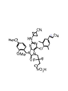 COc1ccc(Cn2c(=O)n(CC(F)(F)COS(=O)(=O)O)c3c(Oc4c(C)cc(/C=C/C#N)cc4C)nc(NC45CC(C#N)(C4)C5)nc32)c(OC)c1